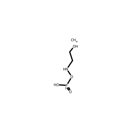 C.O=[PH](O)ONCCO